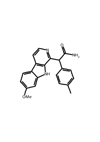 COc1ccc2c(c1)[nH]c1c(C(C(N)=O)c3ccc(C)cc3)nccc12